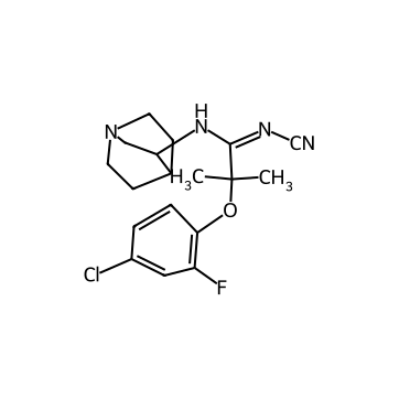 CC(C)(Oc1ccc(Cl)cc1F)/C(=N\C#N)NC1CN2CCC1CC2